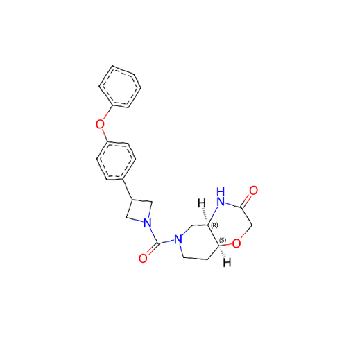 O=C1CO[C@H]2CCN(C(=O)N3CC(c4ccc(Oc5ccccc5)cc4)C3)C[C@H]2N1